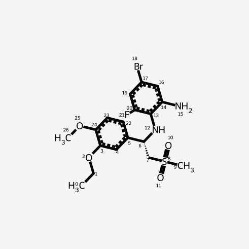 CCOc1cc([C@@H](CS(C)(=O)=O)Nc2c(N)cc(Br)cc2F)ccc1OC